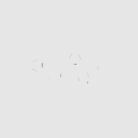 COC(=O)OC1=C(C)NC(C)=C(c2nc(CN(C)Cc3cccnc3)no2)C1c1cccc([N+](=O)[O-])c1